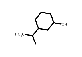 CC(C(=O)O)C1CC[CH]C(O)C1